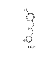 O=C(O)c1cc(CNCc2ccc(Cl)cc2)c[nH]1